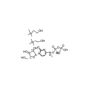 C[N+](C)(C)CCO.C[N+](C)(C)CCO.Nc1ccn([C@@H]2O[C@H](CO)[C@@H](O)[C@H]2O)c(=O)n1.O=P([O-])([O-])OP(=O)(O)O